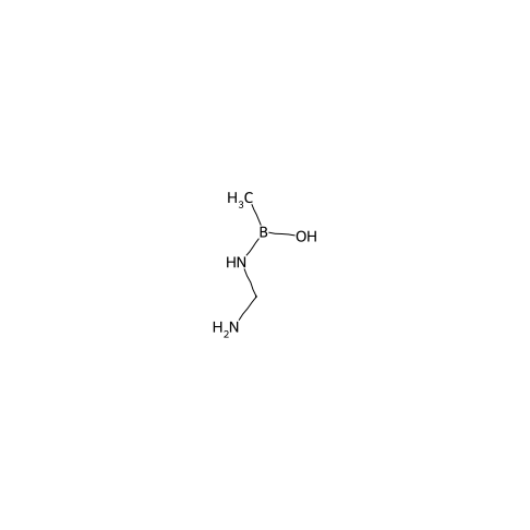 CB(O)NCN